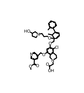 COC(=O)c1cncc(COc2cc(OCC3(OCCCN4CCC(O)C4)C=CC=C(c4ccccc4C)C3C)c(Cl)c3c2CN(CC(=O)O)CC3)c1